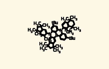 Cc1cc2c(cc1N1c3cc4c(cc3B3c5ccc(C(C)(C)C)cc5N(c5ccc6c(c5C)C(C)(C)CCC6(C)C)c5cc(C(C)(C)C)cc1c53)C(C)(C)CC4(C)C)C(C)(C)CC2(C)C